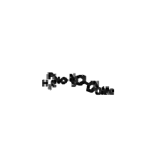 COc1ccc(-c2ccc3nc([C@H]4C[C@H](N(C)C(C)C)C4)sc3c2)cn1